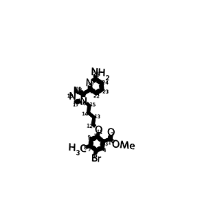 COC(=O)c1cc(Br)c(C)cc1OCCCCn1cnnc1-c1cccc(N)n1